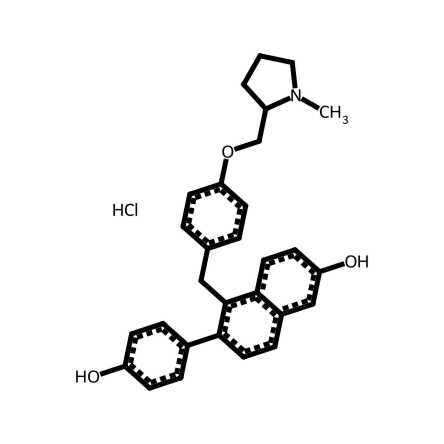 CN1CCCC1COc1ccc(Cc2c(-c3ccc(O)cc3)ccc3cc(O)ccc23)cc1.Cl